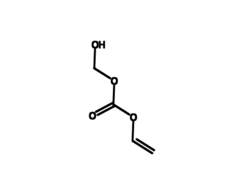 C=COC(=O)OCO